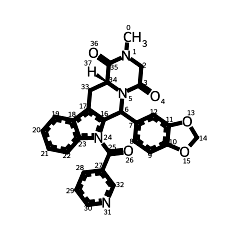 CN1CC(=O)N2C(c3ccc4c(c3)OCO4)c3c(c4ccccc4n3C(=O)c3cccnc3)C[C@@H]2C1=O